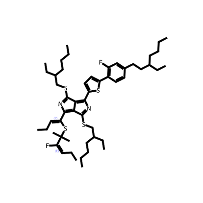 CC/C=C(\SC(C)(C)/C(F)=C\CC)C1=C2C(SCC(CC)CCCC)=NC(c3ccc(-c4ccc(CCC(CC)CCCC)cc4F)s3)=C2C(SCC(CC)CCCC)=N1